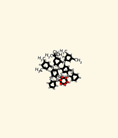 Cc1cc(C)cc(N2c3cc(C(C)(C)C)cc4c3B(c3c2cc2c5c3Sc3ccccc3B5c3ccccc3S2)c2c(cc3c5c2Sc2ccccc2B5c2ccccc2S3)N4c2cc(C)cc(C)c2)c1